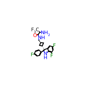 NC(C(=O)NC[C@H]1C[C@H](c2c(-c3ccc(F)cc3)[nH]c3c(F)cc(F)cc32)C1)C(F)(F)F